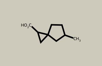 CC1CCC2(C1)CC2C(=O)O